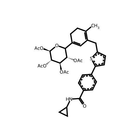 CC(=O)O[C@H]1OC(C2=CC(Cc3ccc(-c4ccc(C(=O)NC5CC5)cc4)s3)=C(C)CC2)[C@H](OC(C)=O)[C@@H](OC(C)=O)[C@@H]1OC(C)=O